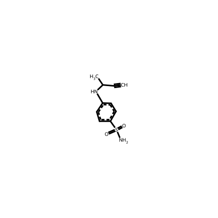 C#CC(C)Nc1ccc(S(N)(=O)=O)cc1